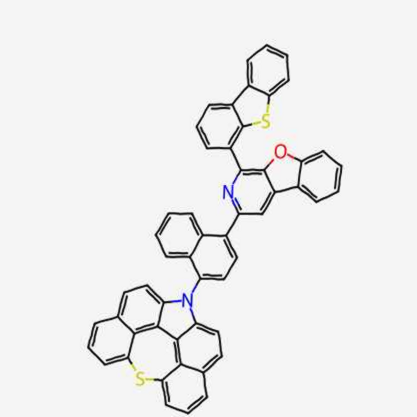 c1ccc2c(c1)oc1c(-c3cccc4c3sc3ccccc34)nc(-c3ccc(-n4c5ccc6cccc7sc8cccc9ccc4c(c98)c5c67)c4ccccc34)cc12